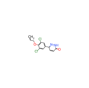 C=CCOc1c(Cl)cc(-c2ccc(=O)[nH]n2)cc1Cl